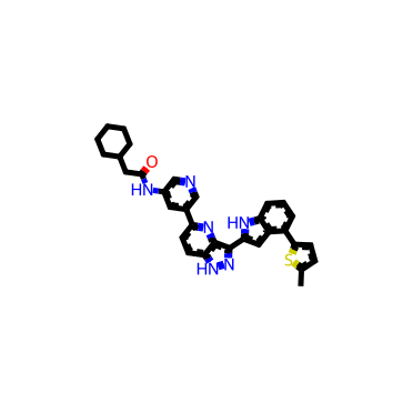 Cc1ccc(-c2cccc3[nH]c(-c4n[nH]c5ccc(-c6cncc(NC(=O)CC7CCCCC7)c6)nc45)cc23)s1